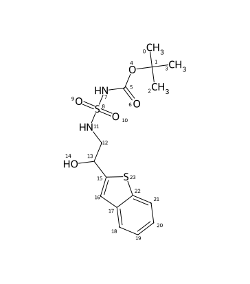 CC(C)(C)OC(=O)NS(=O)(=O)NCC(O)c1cc2ccccc2s1